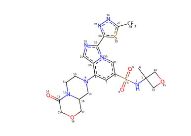 CC1(NS(=O)(=O)c2cc(N3CCN4C(=O)COCC4C3)c3cnc(-c4nnc(C(F)(F)F)s4)n3c2)COC1